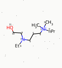 CCC[N+](C)(C)CCCN(CC)CCO